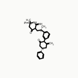 C=C1C[C@H](c2ccccc2)CC(=O)C1c1cccc([C@@H](C)CC2C(=N)N[C@](C)(C(C)C)CC2=O)c1